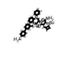 CCCC[C@H](C(N)=O)[C@@H](CC1CCC1)C(=O)NC1CN(c2ccccc2)c2ccccc2N(Cc2cccc(-c3ccc(C)cc3)c2)C1=O